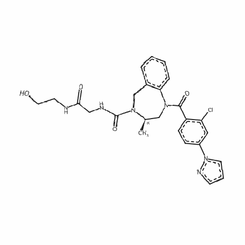 C[C@@H]1CN(C(=O)c2ccc(-n3cccn3)cc2Cl)c2ccccc2CN1C(=O)NCC(=O)NCCO